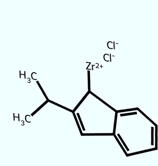 CC(C)C1=Cc2ccccc2[CH]1[Zr+2].[Cl-].[Cl-]